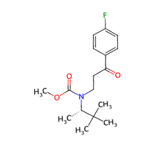 COC(=O)N(CCC(=O)c1ccc(F)cc1)[C@@H](C)C(C)(C)C